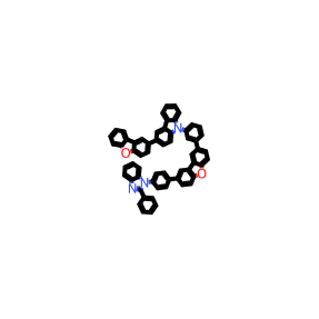 c1ccc(-c2nc3ccccc3n2-c2ccc(-c3ccc4oc5ccc(-c6cccc(-n7c8ccccc8c8cc(-c9ccc%10oc%11ccccc%11c%10c9)ccc87)c6)cc5c4c3)cc2)cc1